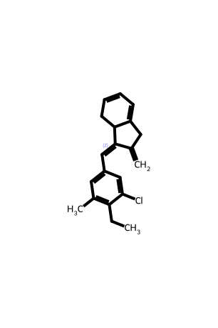 C=C1CC2=CC=CCC2/C1=C/c1cc(C)c(CC)c(Cl)c1